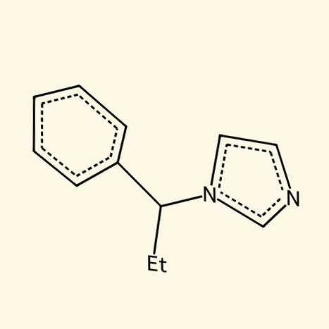 CCC(c1ccccc1)n1ccnc1